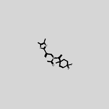 C=C(CN(C(=C)C1(C)CCC(F)(F)CC1)C(C)=O)c1nc(C)c(C)s1